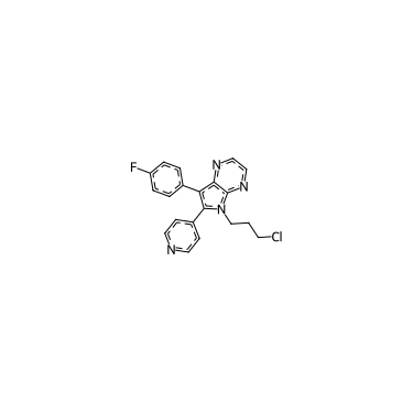 Fc1ccc(-c2c(-c3ccncc3)n(CCCCl)c3nccnc23)cc1